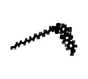 CCCCCCCCCCCCCCCCCCNS(=O)(=O)c1ccc(Cl)c(NC(=O)C(C)C(=O)c2ccc(OC)cc2)c1